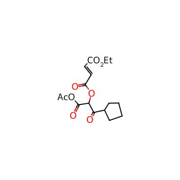 CCOC(=O)C=CC(=O)OC(C(=O)OC(C)=O)C(=O)C1CCCC1